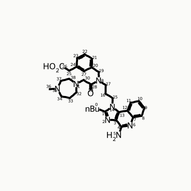 CCCCc1nc2c(N)nc3ccccc3c2n1CCCN(Cc1cccc(CC(=O)O)c1)C(=O)CN1CCCN(C)CC1